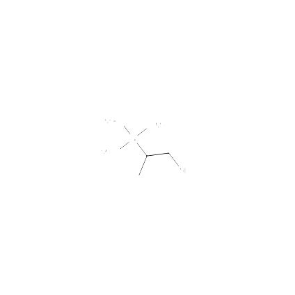 CO[Si](OC)(OC)C(C)CN